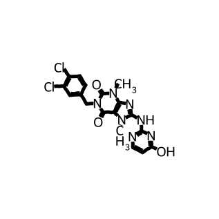 Cn1c(Nc2nccc(O)n2)nc2c1c(=O)n(Cc1ccc(Cl)c(Cl)c1)c(=O)n2C